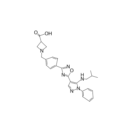 CC(C)CNc1c(-c2nc(-c3ccc(CN4CC(C(=O)O)C4)cc3)no2)cnn1-c1ccccc1